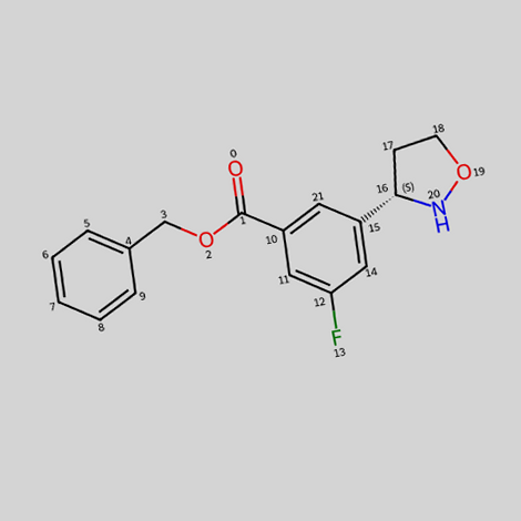 O=C(OCc1ccccc1)c1cc(F)cc([C@@H]2CCON2)c1